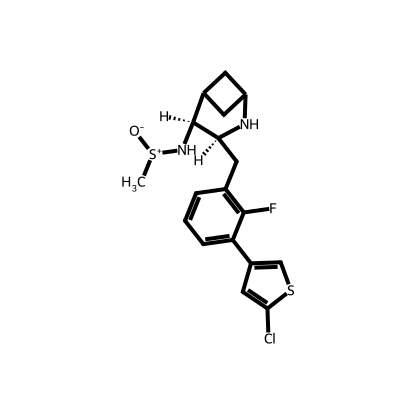 C[S+]([O-])N[C@H]1C2CC(C2)N[C@H]1Cc1cccc(-c2csc(Cl)c2)c1F